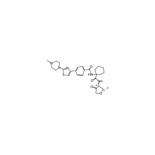 CN1CCN(c2nc(-c3ccc(C(=O)NC4(C(=O)N[C@@H]5C(=O)CO[C@H]5I)CCCCC4)cc3)cs2)CC1